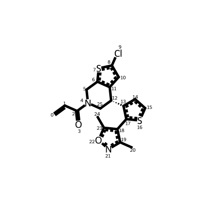 C=CC(=O)N1Cc2sc(Cl)cc2[C@H](c2ccsc2-c2c(C)noc2C)C1